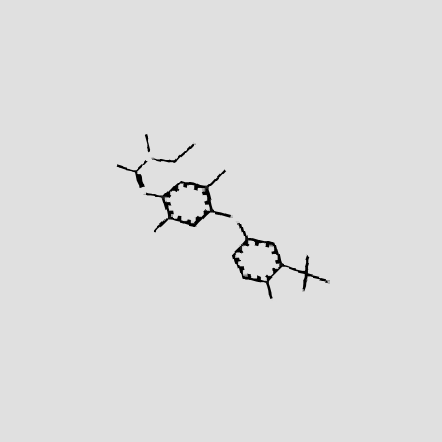 CCN(C)C(C)=Nc1cc(C)c(Oc2ccc(Cl)c(C(F)(F)F)c2)cc1C